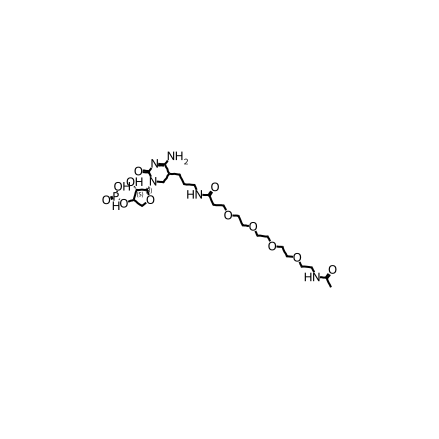 CC(=O)NCCOCCOCCOCCOCCC(=O)NCCCC1CN([C@@H]2OCC(O[PH](=O)O)[C@@H]2O)C(=O)N=C1N